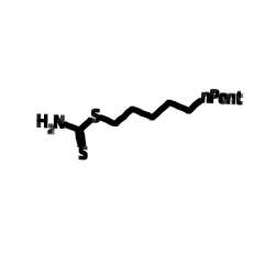 CCCCCCCCCCSC(N)=S